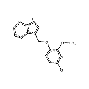 COc1nc(Cl)ccc1OCc1c[nH]c2ncccc12